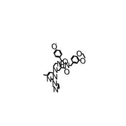 COc1ccc(C(=O)N2CCN(c3cc(C)nc(-n4ccnc4)n3)CC2C(=O)NCc2ccc3c(c2)OCCO3)cc1